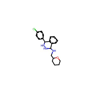 Clc1ccc(C2NNC(NCC3CCCCO3)c3ccccc32)cc1